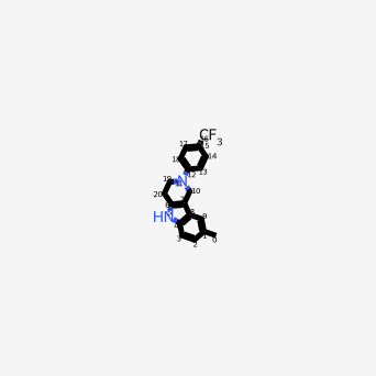 Cc1ccc2[nH]c3c(c2c1)CN(c1ccc(C(F)(F)F)cc1)CC3